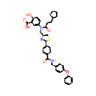 O=C(NCc1ccc(Oc2ccccc2)cc1)c1ccc(-c2nc(CN(C(=O)CCC3CCCC3)c3ccc(O)c(C(=O)O)c3)cs2)cc1